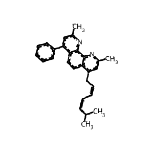 Cc1cc(C/C=C\C=C/C(C)C)c2ccc3c(-c4ccccc4)cc(C)nc3c2n1